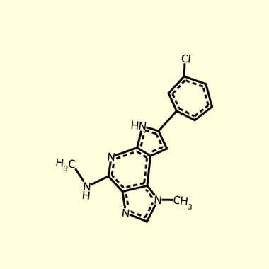 CNc1nc2[nH]c(-c3cccc(Cl)c3)cc2c2c1ncn2C